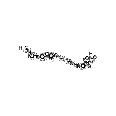 CC1CN(c2nccc(COc3ccc(C(C)(C)c4ccc(OCCCCCCCCOCCCNc5ccc6c(c5)C(=O)N(C5CCC(=O)NC5=O)C6=O)cc4)cc3)n2)C1